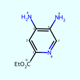 CCOC(=O)c1cc(N)c(N)cn1